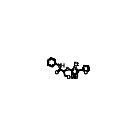 CCn1c(SC(COC)C(=O)Nc2ccccc2)nnc1-c1ccco1